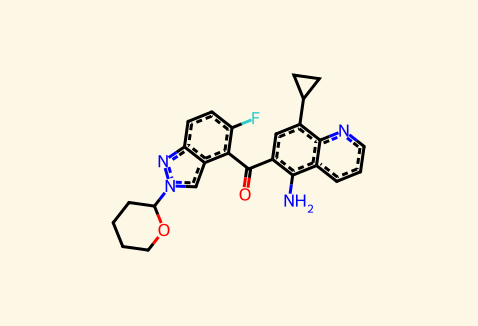 Nc1c(C(=O)c2c(F)ccc3nn(C4CCCCO4)cc23)cc(C2CC2)c2ncccc12